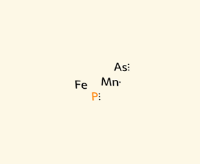 [As].[Fe].[Mn].[P]